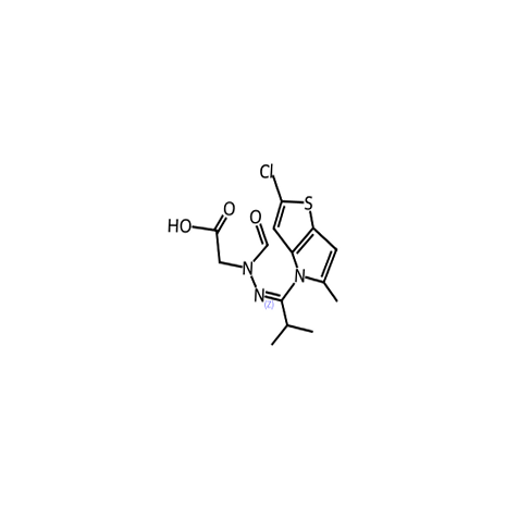 Cc1cc2sc(Cl)cc2n1/C(=N\N(C=O)CC(=O)O)C(C)C